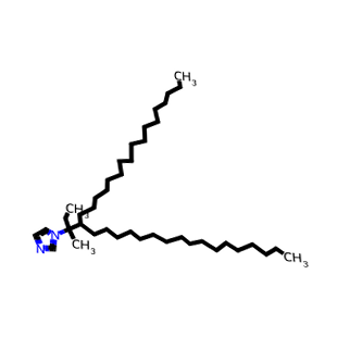 CCCCCCCCCCCCCCCCCC(CCCCCCCCCCCCCCCCC)C(C)(CC)n1ccnc1